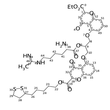 CCOC(=O)c1cc(=O)c2c(OCC(COc3cccc4oc(C(=O)OCCCCCC5CCSS5)cc(=O)c34)OC(=O)[C@@H](N)CCCCNC(C)=N)cccc2o1